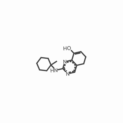 CC1(Nc2ncc3c(n2)C(O)=CCC3)CCCCC1